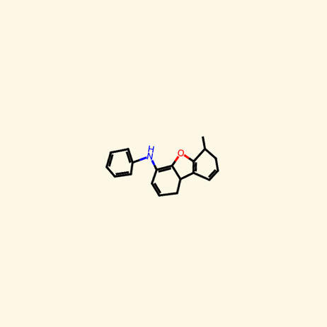 CC1CC=CC2=C1OC1=C(Nc3ccccc3)C=CCC21